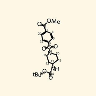 COC(=O)c1ccc(S(=O)(=O)N2CCC(NC(=O)OC(C)(C)C)CC2)cc1